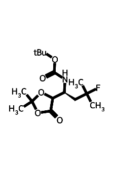 CC(C)(F)C[C@H](NC(=O)OC(C)(C)C)C1OC(C)(C)OC1=O